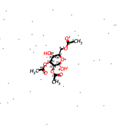 CC(=O)OC[C@H]1O[C@H](O)[C@@H](OC(C)=O)[C@@H](OC(C)=O)[C@@H]1O